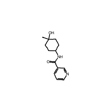 CC1(O)CCC(NC(=O)c2cccnc2)CC1